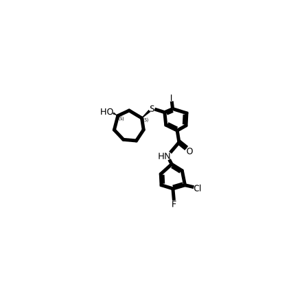 O=C(Nc1ccc(F)c(Cl)c1)c1ccc(I)c(S[C@H]2CCCC[C@H](O)C2)c1